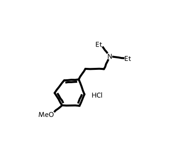 CCN(CC)CCc1ccc(OC)cc1.Cl